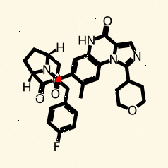 Cc1cc2c(cc1C(=O)N1[C@@H]3CC[C@H]1C(=O)N(Cc1ccc(F)cc1)C3)[nH]c(=O)c1cnc(C3CCOCC3)n12